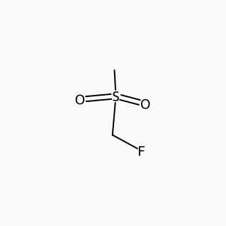 CS(=O)(=O)CF